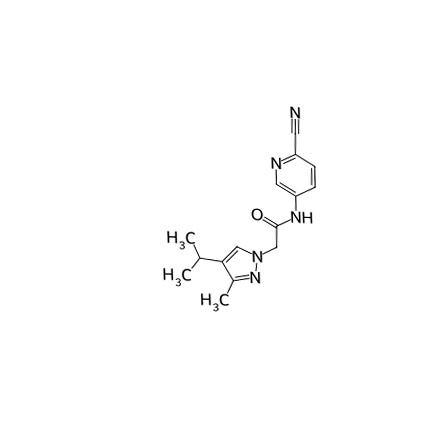 Cc1nn(CC(=O)Nc2ccc(C#N)nc2)cc1C(C)C